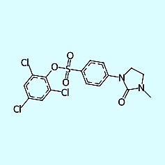 CN1CCN(c2ccc(S(=O)(=O)Oc3c(Cl)cc(Cl)cc3Cl)cc2)C1=O